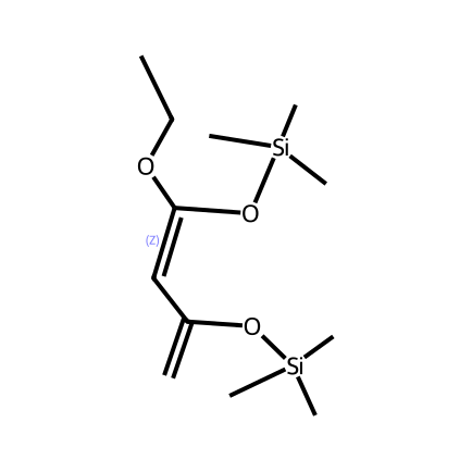 C=C(/C=C(/OCC)O[Si](C)(C)C)O[Si](C)(C)C